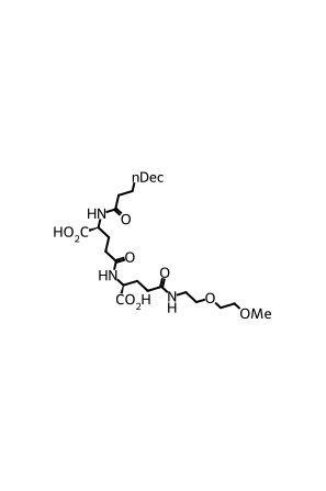 CCCCCCCCCCCCC(=O)N[C@@H](CCC(=O)N[C@@H](CCC(=O)NCCOCCOC)C(=O)O)C(=O)O